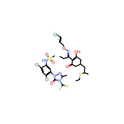 CCSC(C)CC1CC(=O)C(/C(CC)=N/OC/C=C/Cl)=C(O)C1.Cc1nn(-c2cc(NS(C)(=O)=O)c(Cl)cc2Cl)c(=O)n1C(F)F